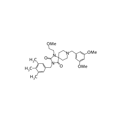 COCCN1C(=O)N(Cc2cc(C)c(C)c(C)c2)C(=O)C12CCN(Cc1cc(OC)cc(OC)c1)CC2